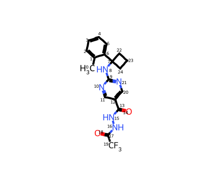 Cc1ccccc1C1(Nc2ncc(C(=O)NNC(=O)C(F)(F)F)cn2)CCC1